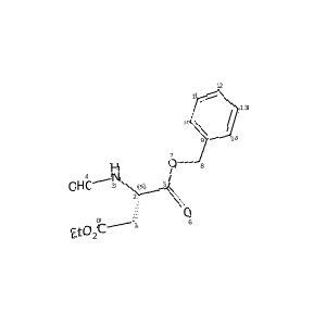 CCOC(=O)C[C@H](NC=O)C(=O)OCc1ccccc1